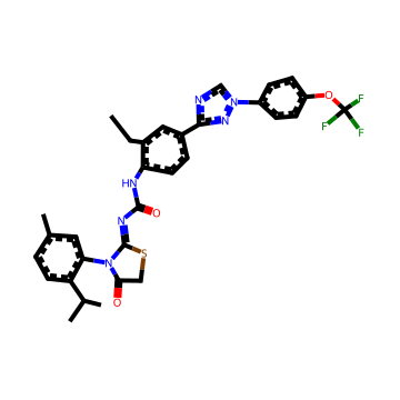 CCc1cc(-c2ncn(-c3ccc(OC(F)(F)F)cc3)n2)ccc1NC(=O)N=C1SCC(=O)N1c1cc(C)ccc1C(C)C